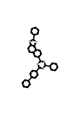 c1ccc(-c2ccc(-c3nc(-c4ccccc4)nc(-c4ccc5c(ccc6nc(-c7ccccc7)oc65)c4)n3)cc2)cc1